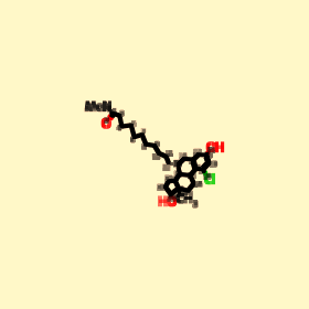 CNC(=O)CCCCCCCCCC[C@@H]1CC2=C(C(Cl)=C=C(O)C2)C2CC[C@]3(C)C(O)CCC3C21